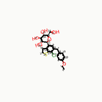 CCOc1ccc(Cc2cc([C@@H]3O[C@H](CO)[C@@H](O)[C@H](O)[C@H]3O)c3c(c2Cl)SCC3)cc1